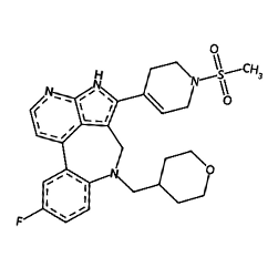 CS(=O)(=O)N1CC=C(c2[nH]c3nccc4c3c2CN(CC2CCOCC2)c2ccc(F)cc2-4)CC1